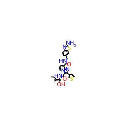 CC[C@H](C)[C@@H](CO)NC(=O)c1c(-c2ccsc2)nc2c(C(=O)NCc3ccc4nc(N)sc4c3)cccn12